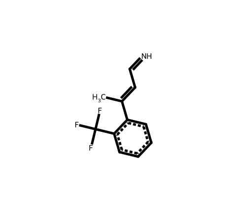 C/C(=C\C=N)c1ccccc1C(F)(F)F